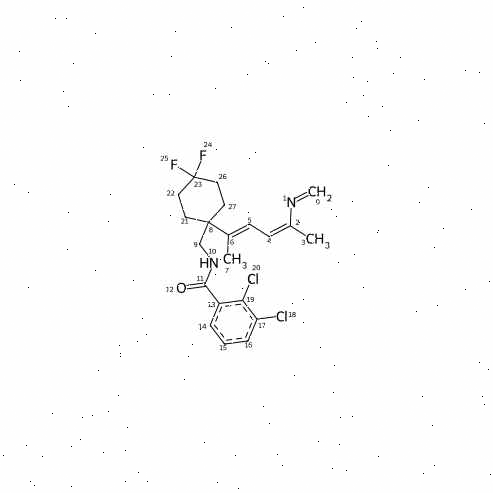 C=N/C(C)=C\C=C(/C)C1(CNC(=O)c2cccc(Cl)c2Cl)CCC(F)(F)CC1